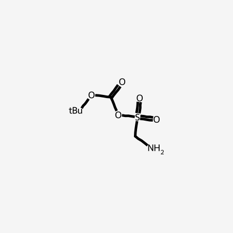 CC(C)(C)OC(=O)OS(=O)(=O)CN